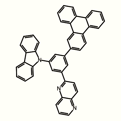 c1cnc2ccc(-c3cc(-c4ccc5c6ccccc6c6ccccc6c5c4)cc(-n4c5ccccc5c5ccccc54)c3)nc2c1